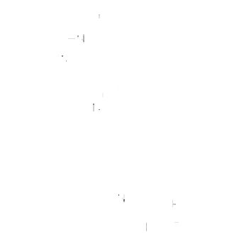 O=CNc1cc(C(=O)NCCCOc2ncc(C(F)(F)F)cc2Cl)ccn1